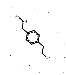 CCNCc1ccc(CCC(C)=O)cc1